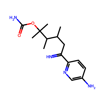 CC(CC(=N)c1ccc(N)cn1)C(C)C(C)(C)OC(N)=O